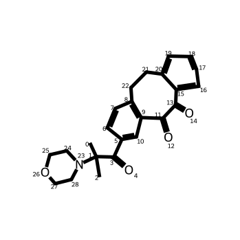 CC(C)(C(=O)c1ccc2c(c1)C(=O)C(=O)c1ccccc1CC2)N1CCOCC1